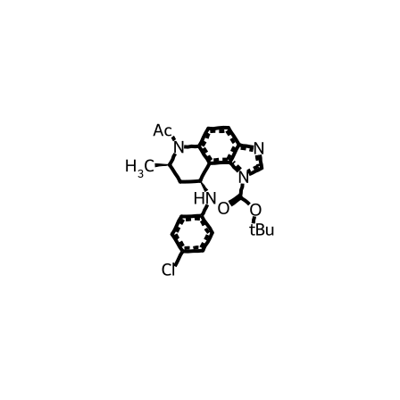 CC(=O)N1c2ccc3ncn(C(=O)OC(C)(C)C)c3c2[C@@H](Nc2ccc(Cl)cc2)C[C@H]1C